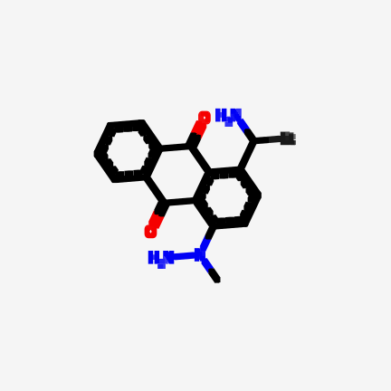 CCC(N)c1ccc(N(C)N)c2c1C(=O)c1ccccc1C2=O